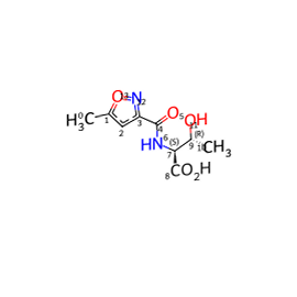 Cc1cc(C(=O)N[C@H](C(=O)O)[C@@H](C)O)no1